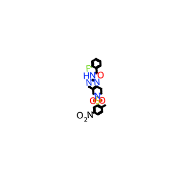 Cc1ccc([N+](=O)[O-])cc1S(=O)(=O)N1CCc2nc(NC(=O)c3ccccc3F)ncc2C1